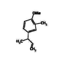 [CH2]C(C=C)c1ccc(OC)c(C)c1